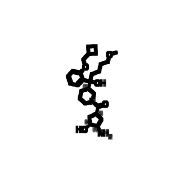 COCCCCC(O)(c1ccccc1OCC1CCC1)[C@@H]1CCCN(C(=O)[C@H]2C[C@@H](N)[C@H](O)C2)C1